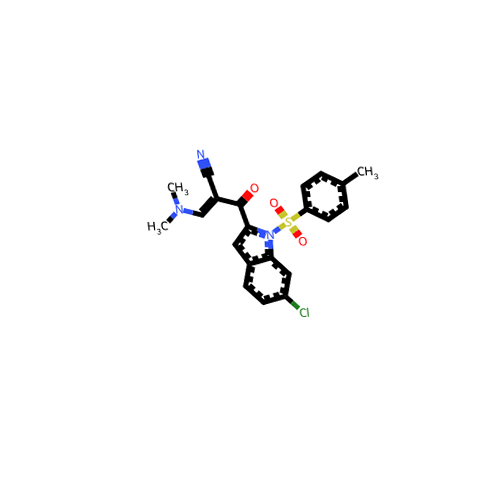 Cc1ccc(S(=O)(=O)n2c(C(=O)C(C#N)=CN(C)C)cc3ccc(Cl)cc32)cc1